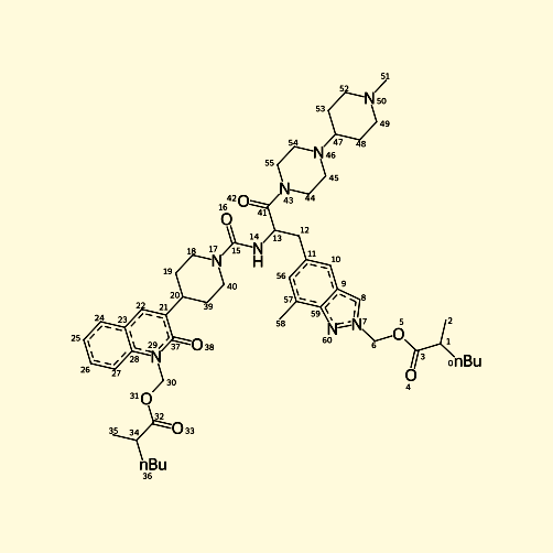 CCCCC(C)C(=O)OCn1cc2cc(CC(NC(=O)N3CCC(c4cc5ccccc5n(COC(=O)C(C)CCCC)c4=O)CC3)C(=O)N3CCN(C4CCN(C)CC4)CC3)cc(C)c2n1